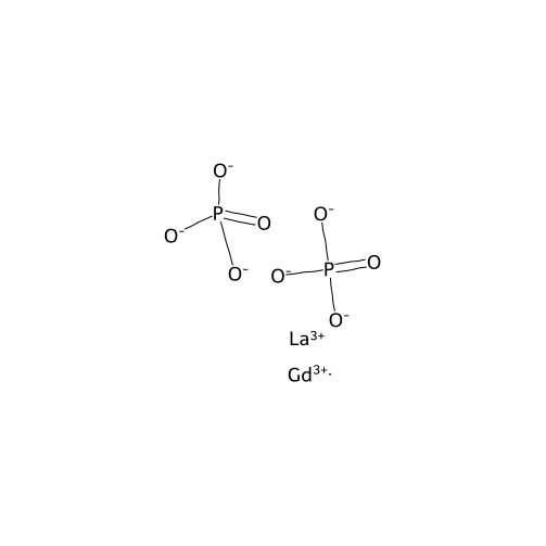 O=P([O-])([O-])[O-].O=P([O-])([O-])[O-].[Gd+3].[La+3]